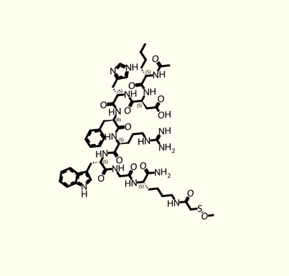 CCCC[C@H](NC(C)=O)C(=O)N[C@@H](CC(=O)O)C(=O)N[C@@H](Cc1c[nH]cn1)C(=O)N[C@H](Cc1ccccc1)C(=O)N[C@@H](CCCNC(=N)N)C(=O)N[C@@H](Cc1c[nH]c2ccccc12)C(=O)NCC(=O)N[C@@H](CCCCNC(=O)CSOC)C(N)=O